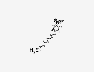 C=C/C=C/C=C/C=C/C=C/c1ccc([N+](=O)[O-])cc1